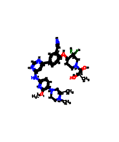 COc1nc(Nc2cc(-c3ccc(OC4CCN(C(=O)[C@H](C)O)CC4(F)F)c(C#N)c3)ncn2)ccc1N1CCN(C)[C@@H](C)C1